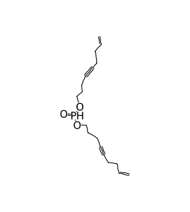 C=CCCC#CCCCO[PH](=O)OCCCC#CCCC=C